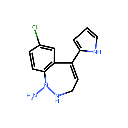 NN1NCC=C(c2ccc[nH]2)c2cc(Cl)ccc21